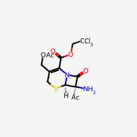 CC(=O)OCC1=C(C(=O)OCC(Cl)(Cl)Cl)N2C(=O)[C@](N)(C(C)=O)[C@H]2SC1